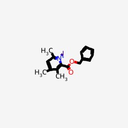 Cc1cc(C)[n+](I)c(C(=O)OCc2ccccc2)c1C